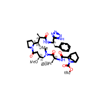 CC[C@H](C)[C@@H]([C@H](CC(=O)N1CCC[C@H]1[C@H](OC)[C@@H](C)C(=O)N[C@@H](Cc1ccccc1)c1nnn[nH]1)OC)N(C)C(=O)[C@@H](NC(=O)C1C2CCC(C2)N1C(=O)OC(C)(C)C)C(C)C